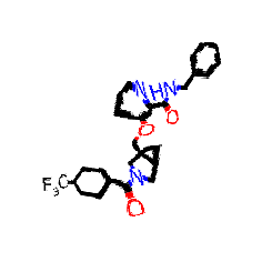 O=C(NCc1ccccc1)c1ncccc1OCC12CC1CN(C(=O)C1CCC(C(F)(F)F)CC1)C2